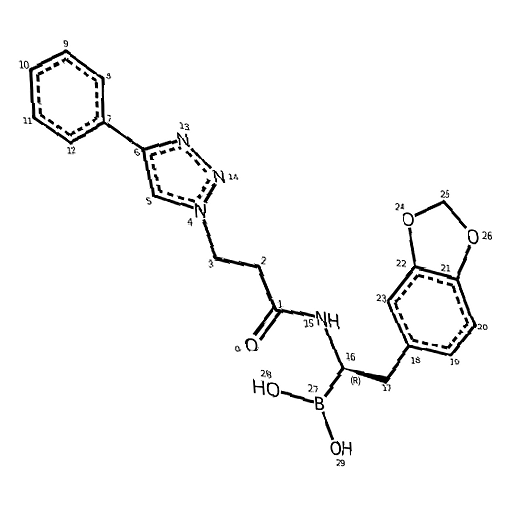 O=C(CCn1cc(-c2ccccc2)nn1)N[C@@H](Cc1ccc2c(c1)OCO2)B(O)O